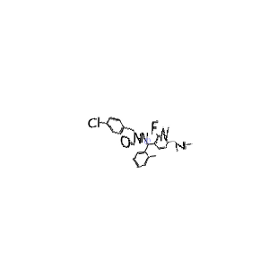 Cc1ccccc1/C(=N\N(C=O)Cc1ccc(Cl)cc1)c1ccc(CN(C)C)nc1F